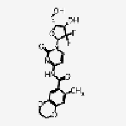 Cc1cc2c(cc1C(=O)Nc1ccn(C3O[C@H](CO)[C@@H](O)C3(F)F)c(=O)n1)OCCO2